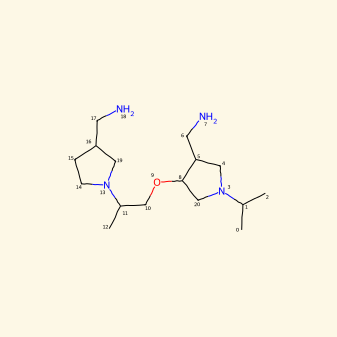 CC(C)N1CC(CN)C(OCC(C)N2CCC(CN)C2)C1